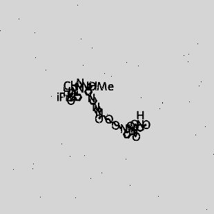 COc1cc(N2CCC(N3CCN(C(=O)CCOCCOCCNc4cccc5c4C(=O)N(C4CCC(=O)NC4=O)C5=O)CC3)CC2)ccc1Nc1ncc(Cl)c(Nc2ccccc2S(=O)(=O)C(C)C)n1